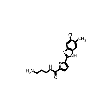 Cc1cc2[nH]c(-c3ccc(C(=O)NCCCN)s3)nc2cc1Cl